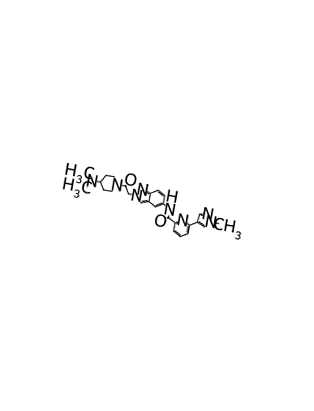 CN(C)C1CCN(C(=O)Cn2cc3cc(NC(=O)c4cccc(-c5cnn(C)c5)n4)ccc3n2)CC1